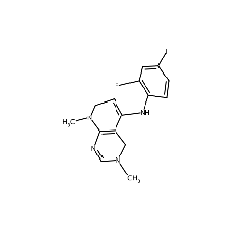 CN1C=NC2=C(C1)C(Nc1ccc(I)cc1F)=CCN2C